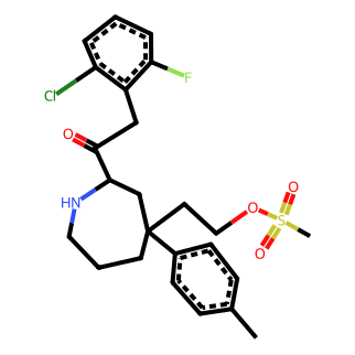 Cc1ccc(C2(CCOS(C)(=O)=O)CCCNC(C(=O)Cc3c(F)cccc3Cl)C2)cc1